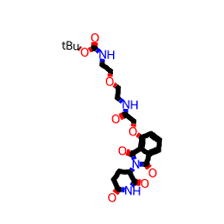 CC(C)(C)OC(=O)NCCOCCNC(=O)COc1cccc2c1C(=O)N(C1CCC(=O)NC1=O)C2=O